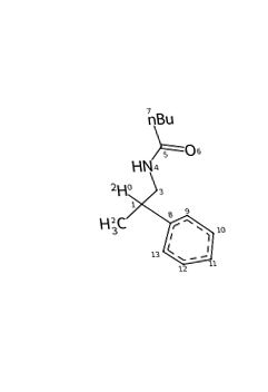 [2H]C(C)(CNC(=O)CCCC)c1ccccc1